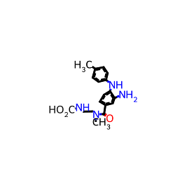 Cc1ccc(Nc2ccc(C(=O)N(C)CCNC(=O)O)cc2N)cc1